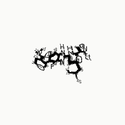 CCc1nocc1C(=O)N[C@H](c1nc2c(F)c(C3=C(C(=O)N(C)C)CCOC3)ccc2[nH]1)[C@H]1CC[C@H](C)CC1